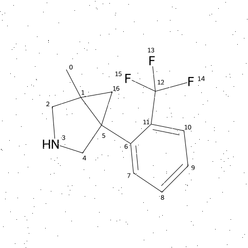 CC12CNCC1(c1ccccc1C(F)(F)F)C2